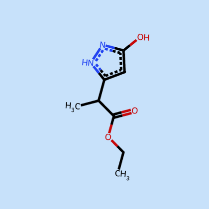 CCOC(=O)C(C)c1cc(O)n[nH]1